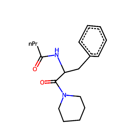 CCCC(=O)NC(Cc1ccccc1)C(=O)N1CCCCC1